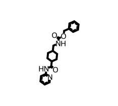 O=C(NCC1CCC(C(=O)Nc2ccccn2)CC1)OCc1ccccc1